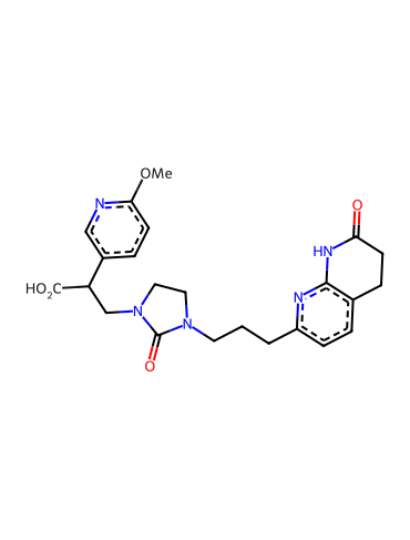 COc1ccc(C(CN2CCN(CCCc3ccc4c(n3)NC(=O)CC4)C2=O)C(=O)O)cn1